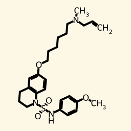 C=CCN(C)CCCCCCOc1ccc2c(c1)CCCN2S(=O)(=O)Nc1ccc(OC)cc1